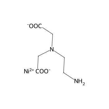 NCCN(CC(=O)[O-])CC(=O)[O-].[Ni+2]